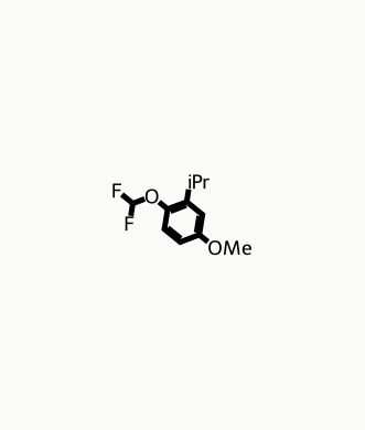 [CH2]C(C)c1cc(OC)ccc1OC(F)F